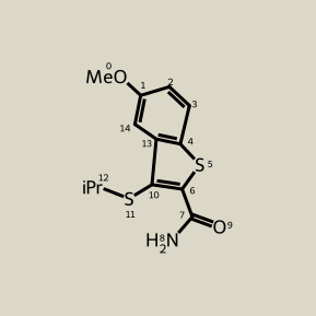 COc1ccc2sc(C(N)=O)c(SC(C)C)c2c1